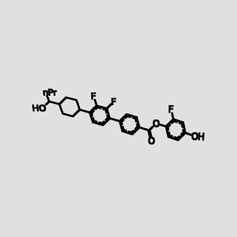 CCCC(O)C1CCC(c2ccc(-c3ccc(C(=O)Oc4ccc(O)cc4F)cc3)c(F)c2F)CC1